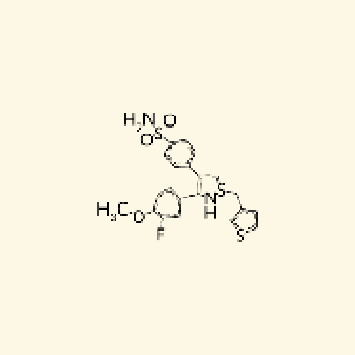 COc1ccc(C2=C(c3ccc(S(N)(=O)=O)cc3)C=S(Cc3ccsc3)N2)cc1F